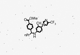 CCCC(Nc1ccc(-n2cnc(C(F)(F)F)c2)c(C)c1)c1ccc(C(=O)OC)cc1